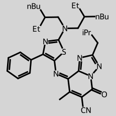 CCCCC(CC)CN(CC(CC)CCCC)c1nc(-c2ccccc2)c(/N=C2/C(C)=C(C#N)C(=O)n3nc(CC(C)C)nc32)s1